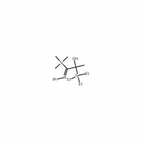 CC[Si](CC)(CC)C(C)(O)C(=NC(C)C)[Si](C)(C)C